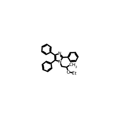 CCOC(C)Cn1c(-c2ccccc2)nc(-c2ccccc2)c1-c1ccccc1